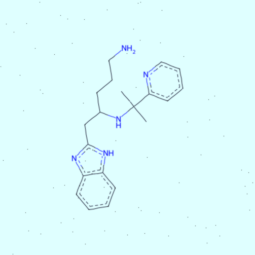 CC(C)(NC(CCCN)Cc1nc2ccccc2[nH]1)c1ccccn1